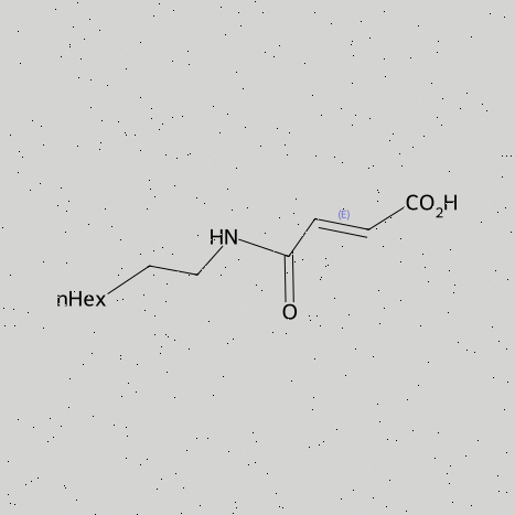 CCCCCCCCNC(=O)/C=C/C(=O)O